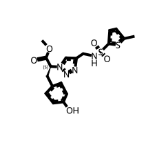 COC(=O)[C@H](Cc1ccc(O)cc1)n1cc(CNS(=O)(=O)c2ccc(C)s2)nn1